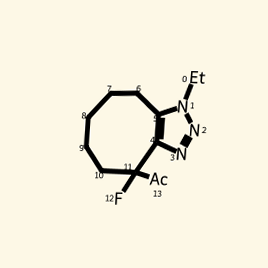 CCn1nnc2c1CCCCCC2(F)C(C)=O